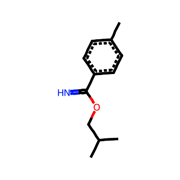 Cc1ccc(C(=N)OCC(C)C)cc1